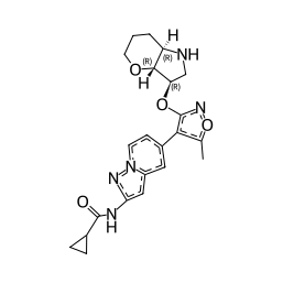 Cc1onc(O[C@@H]2CN[C@@H]3CCCO[C@H]32)c1-c1ccn2nc(NC(=O)C3CC3)cc2c1